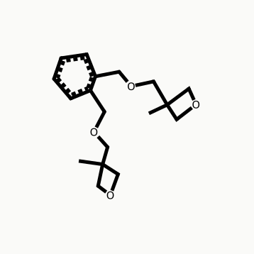 CC1(COCc2ccccc2COCC2(C)COC2)COC1